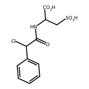 O=C(O)C(CS(=O)(=O)O)NC(=O)C(Cl)c1ccccc1